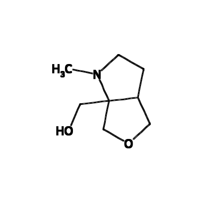 CN1CCC2COCC21CO